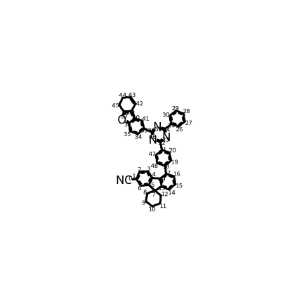 N#Cc1ccc2c(c1)C1(CCCCC1)c1cccc(-c3ccc(-c4nc(-c5ccccc5)nc(-c5ccc6oc7c(c6c5)C=CCC7)n4)cc3)c1-2